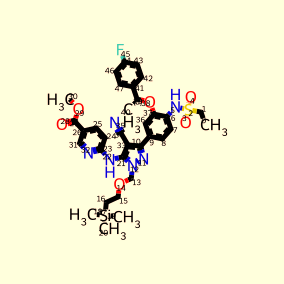 CCS(=O)(=O)Nc1ccc(-c2nn(COCC[Si](C)(C)C)c(Nc3ccc(C(=O)OC)cn3)c2C#N)cc1O[C@@H](C)c1ccc(F)cc1